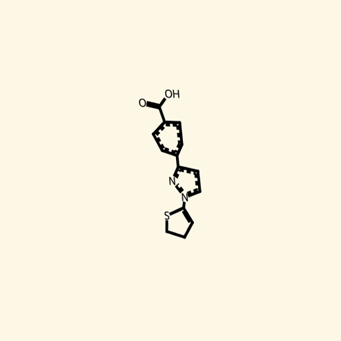 O=C(O)c1ccc(-c2ccn(C3=CCCS3)n2)cc1